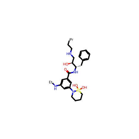 CCNc1cc(C(=O)N[C@@H](Cc2ccccc2)[C@@H](O)CNCCC(C)C)cc(N2CCCCS2(O)O)c1